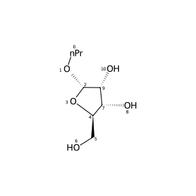 CCCO[C@H]1O[C@H](CO)[C@@H](O)[C@H]1O